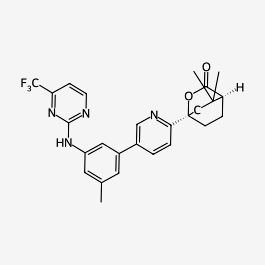 Cc1cc(Nc2nccc(C(F)(F)F)n2)cc(-c2ccc([C@]34CC[C@H](C(=O)O3)C(C)(C)C4)nc2)c1